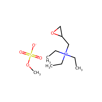 CC[N+](CC)(CC)CC1CO1.COS(=O)(=O)[O-]